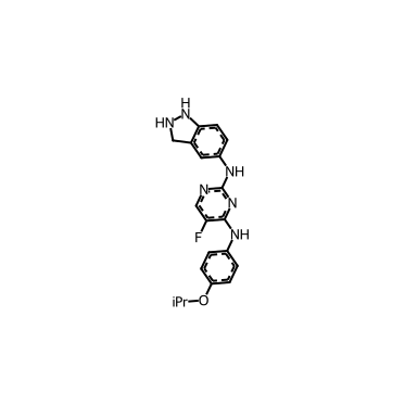 CC(C)Oc1ccc(Nc2nc(Nc3ccc4c(c3)CNN4)ncc2F)cc1